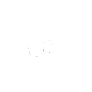 O=C(Cl)CC1CC=CS1